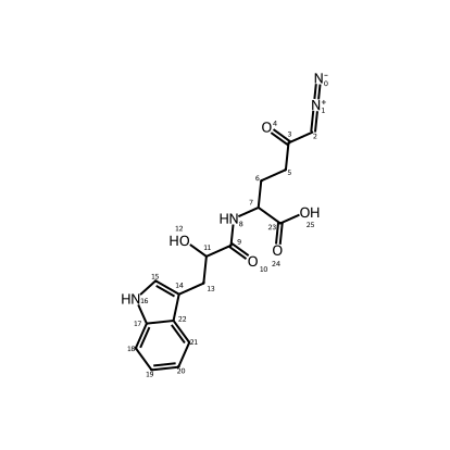 [N-]=[N+]=CC(=O)CCC(NC(=O)C(O)Cc1c[nH]c2ccccc12)C(=O)O